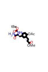 COC(=O)/C=C/c1cc(C[C@H](NC(=O)OC(C)(C)C)C(N)=O)ccc1OC(C)=O